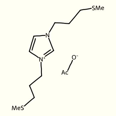 CC(=O)[O-].CSCCCn1cc[n+](CCCSC)c1